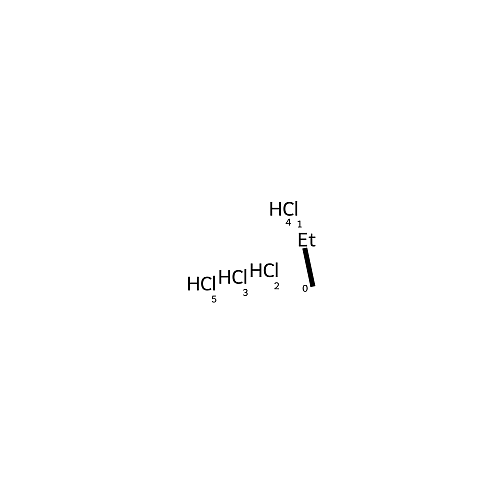 CCC.Cl.Cl.Cl.Cl